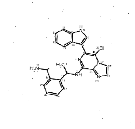 CC(Nc1nc(-c2c[nH]c3ccccc23)c(Cl)n2ccnc12)c1ccccc1CN